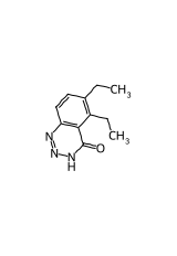 CCc1ccc2nn[nH]c(=O)c2c1CC